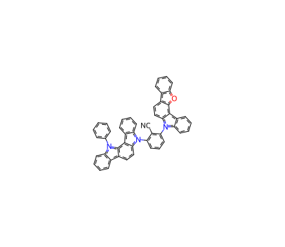 N#Cc1c(-n2c3ccccc3c3c4oc5ccccc5c4ccc32)cccc1-n1c2ccccc2c2c1ccc1c3ccccc3n(-c3ccccc3)c12